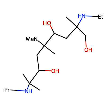 CCNC(C)(CO)CC(O)C(C)(CC(O)C(C)(C)NC(C)C)NC